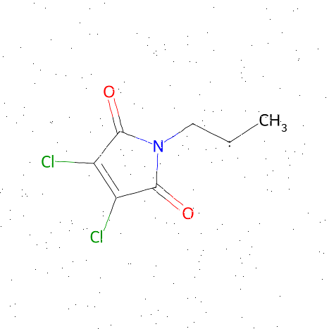 C[CH]CN1C(=O)C(Cl)=C(Cl)C1=O